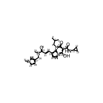 CC(C)Cn1c(=O)c(C(=O)NC2CC2)c(O)n2ncc(C=CC(=O)N(C)Cc3ccn(C)n3)c12